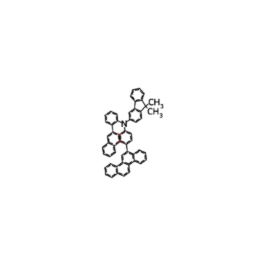 CC1(C)c2ccccc2-c2cc(N(c3ccc(-c4cc5c6ccccc6ccc5c5ccccc45)cc3)c3ccccc3-c3ccc4ccccc4c3)ccc21